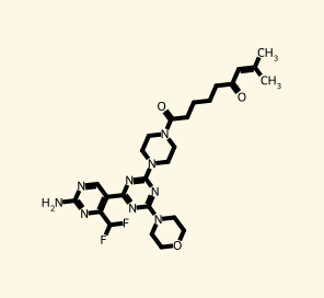 CC(C)=CC(=O)CCCCC(=O)N1CCN(c2nc(-c3cnc(N)nc3C(F)F)nc(N3CCOCC3)n2)CC1